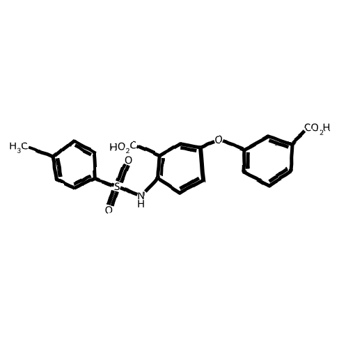 Cc1ccc(S(=O)(=O)Nc2ccc(Oc3cccc(C(=O)O)c3)cc2C(=O)O)cc1